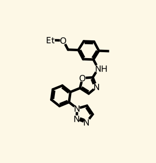 CCOCc1ccc(C)c(Nc2ncc(-c3ccccc3-n3ccnn3)o2)c1